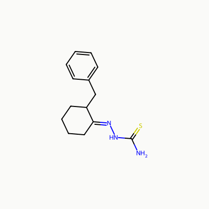 NC(=S)N/N=C1\CCCCC1Cc1ccccc1